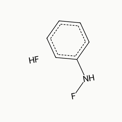 F.FNc1ccccc1